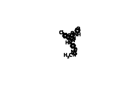 Cc1nsc(Oc2ccc(Nc3nnc(C(=O)NC4CCOCC4)c(=O)n3Cc3ccc(Cl)cc3)cc2)n1